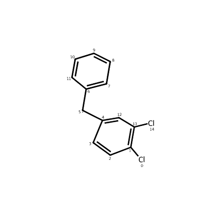 Clc1ccc([CH]c2ccccc2)cc1Cl